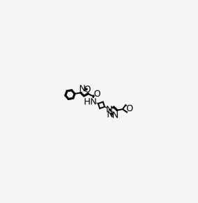 O=C(N[C@H]1C[C@H](n2cc(C3COC3)nn2)C1)c1cc(-c2ccccc2)no1